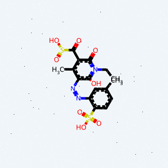 CCn1c(O)c(/N=N\c2cc(C)ccc2S(=O)(=O)O)c(C)c(C(=O)S(=O)O)c1=O